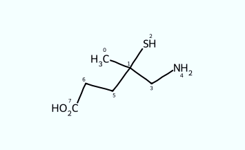 CC(S)(CN)CCC(=O)O